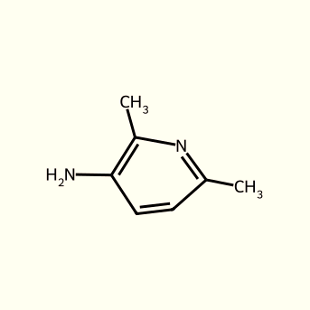 Cc1ccc(N)c(C)n1